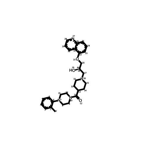 Cc1ccccc1N1CCN(C(=O)C2CCN(C[C@@H](O)COc3cccc4ncccc34)CC2)CC1